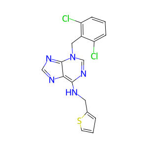 Clc1cccc(Cl)c1Cn1cnc(NCc2cccs2)c2ncnc1-2